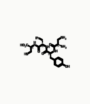 CC(C)C[C@H](NC(=O)[C@H](Cc1ccc(O)cc1)NC(=O)[C@@H](N)CN)C(=O)N[C@@H](CS)C(=O)O